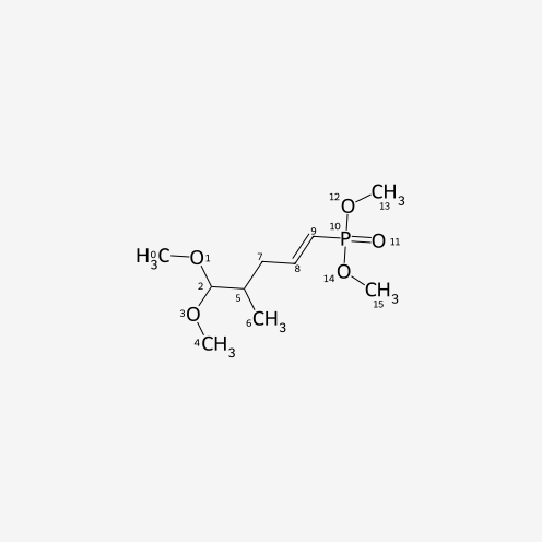 COC(OC)C(C)CC=CP(=O)(OC)OC